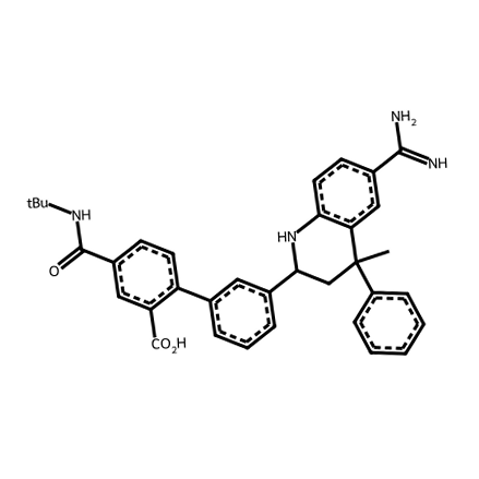 CC(C)(C)NC(=O)c1ccc(-c2cccc(C3CC(C)(c4ccccc4)c4cc(C(=N)N)ccc4N3)c2)c(C(=O)O)c1